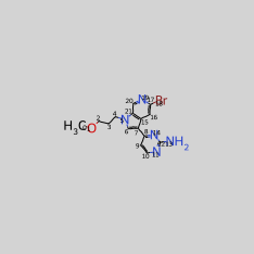 COCCCn1cc(-c2ccnc(N)n2)c2cc(Br)ncc21